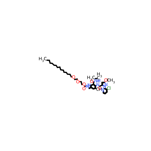 CCCCCCCCCCCCCCCCOCCOCCOC(=O)n1cc2cc(C)c(NC(=O)c3cc(OC)nn3-c3ncccc3Cl)c(C(=O)NC(C)C)c2n1